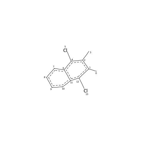 Cc1c(C)c(Cl)c2ccccc2c1Cl